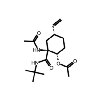 C=C[C@@H]1CC[C@H](OC(C)=O)[C@](NC(C)=O)(C(=O)NC(C)(C)C)C1